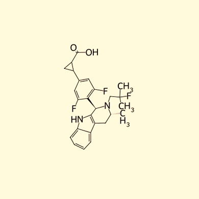 C[C@@H]1Cc2c([nH]c3ccccc23)[C@@H](c2c(F)cc(C3CC3C(=O)O)cc2F)N1CC(C)(C)F